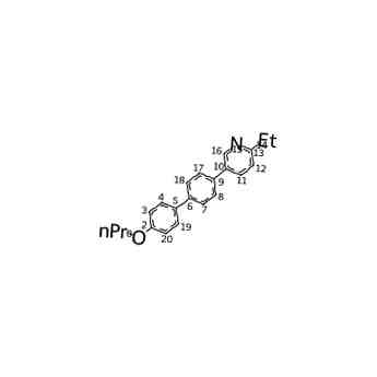 CCCOc1ccc(-c2ccc(-c3ccc(CC)nc3)cc2)cc1